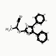 CC(C#N)Sc1nc(-c2ccccc2)c(-c2ccccc2)o1